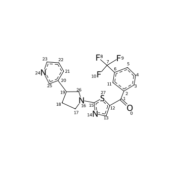 O=C(c1cccc(C(F)(F)F)c1)c1cnc(N2CCC(c3cccnc3)C2)s1